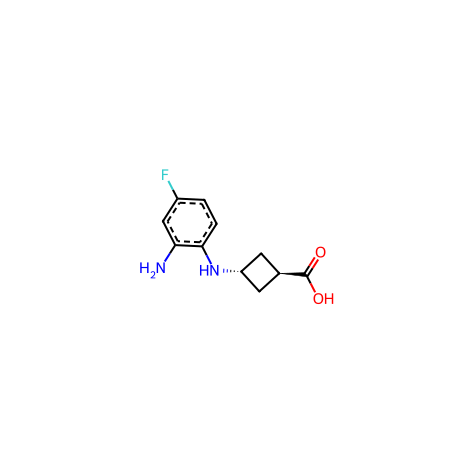 Nc1cc(F)ccc1N[C@H]1C[C@H](C(=O)O)C1